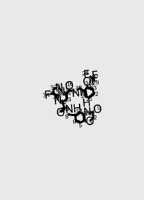 O=C1COc2ccc(CNC(=O)c3cc(C(=O)NCc4ccccc4OC(F)(F)F)n4ncc(F)c4n3)cc2N1